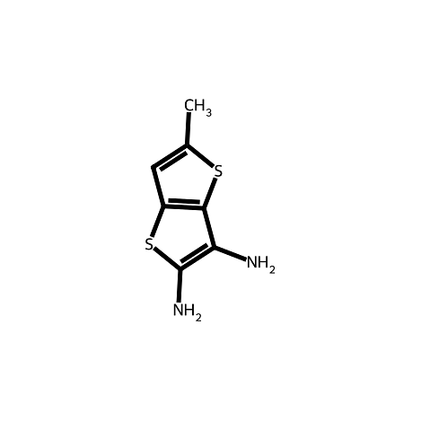 Cc1cc2sc(N)c(N)c2s1